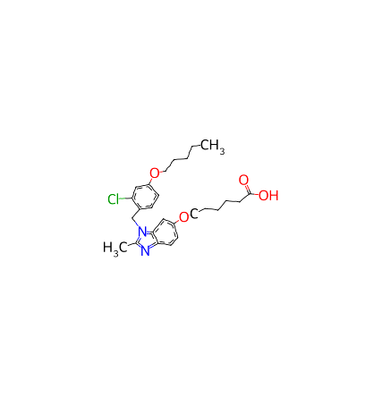 CCCCCOc1ccc(Cn2c(C)nc3ccc(OCCCCCC(=O)O)cc32)c(Cl)c1